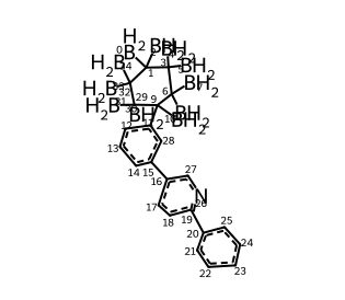 BC1(B)C(B)(B)C(B)(B)C(B)(c2cccc(-c3ccc(-c4ccccc4)nc3)c2)C(B)(B)C1(B)B